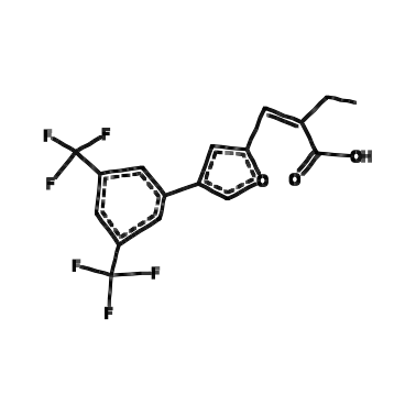 CCC(=Cc1cc(-c2cc(C(F)(F)F)cc(C(F)(F)F)c2)co1)C(=O)O